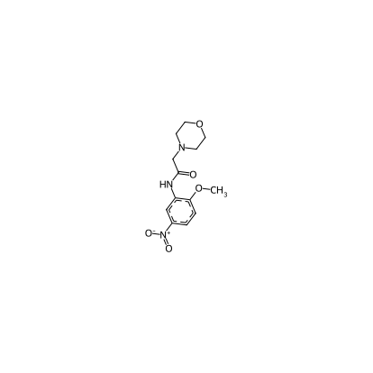 COc1ccc([N+](=O)[O-])cc1NC(=O)CN1CCOCC1